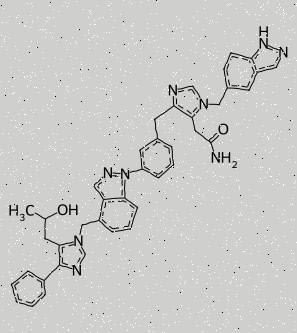 CC(O)Cc1c(-c2ccccc2)ncn1Cc1cccc2c1cnn2-c1cccc(Cc2ncn(Cc3ccc4[nH]ncc4c3)c2CC(N)=O)c1